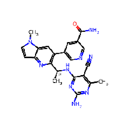 Cc1nc(N)nc(N[C@@H](C)c2nc3ccn(C)c3cc2-c2cncc(C(N)=O)c2)c1C#N